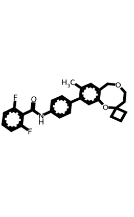 Cc1cc2c(cc1-c1ccc(NC(=O)c3c(F)cccc3F)cc1)OC1(CCC1)CCOC2